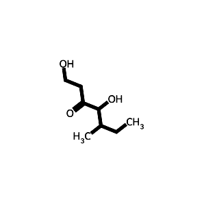 CCC(C)C(O)C(=O)CCO